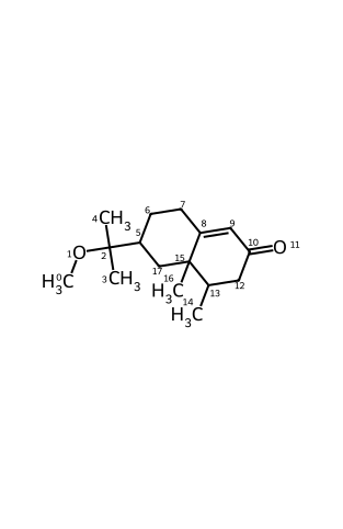 COC(C)(C)C1CCC2=CC(=O)CC(C)C2(C)C1